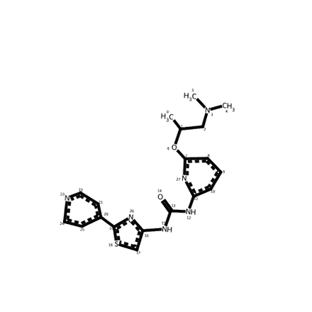 CC(CN(C)C)Oc1cccc(NC(=O)Nc2csc(-c3ccncc3)n2)n1